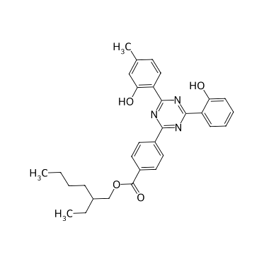 CCCCC(CC)COC(=O)c1ccc(-c2nc(-c3ccccc3O)nc(-c3ccc(C)cc3O)n2)cc1